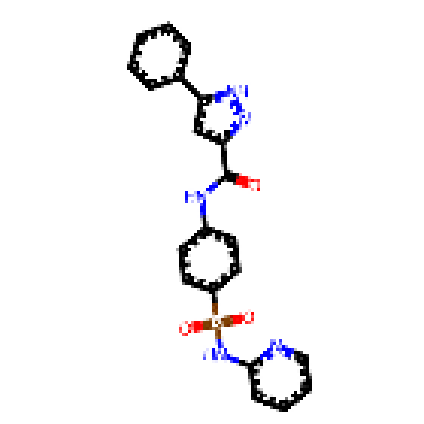 O=C(Nc1ccc(S(=O)(=O)Nc2ccccn2)cc1)c1cc(-c2ccccc2)[nH]n1